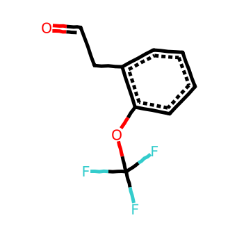 O=CCc1ccccc1OC(F)(F)F